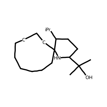 CC(C)C1CCC(C(C)(C)O)NC12CCCCCCCCC2